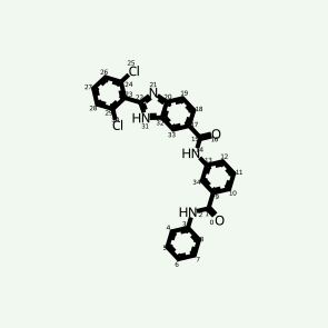 O=C(Nc1ccccc1)c1cccc(NC(=O)c2ccc3nc(-c4c(Cl)cccc4Cl)[nH]c3c2)c1